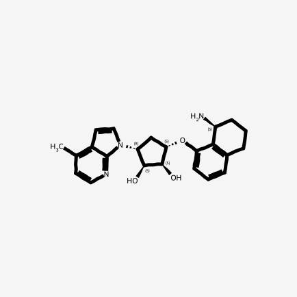 Cc1ccnc2c1ccn2[C@@H]1C[C@H](Oc2cccc3c2[C@@H](N)CCC3)[C@@H](O)[C@H]1O